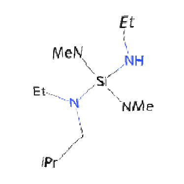 CCN[Si](NC)(NC)N(CC)CC(C)C